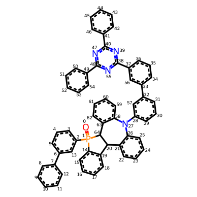 O=P1(c2cccc(-c3ccccc3)c2)c2ccccc2C2c3ccccc3N(c3cccc(-c4cccc(-c5nc(-c6ccccc6)nc(-c6ccccc6)n5)c4)c3)c3ccccc3C21